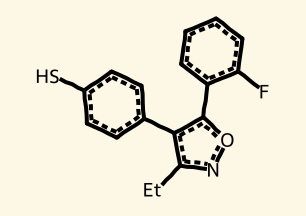 CCc1noc(-c2ccccc2F)c1-c1ccc(S)cc1